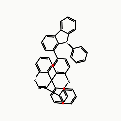 c1ccc(-c2cccc3c2C2(c4ccccc4Sc4ccc(-c5cccc6c7ccccc7n(-c7ccccc7)c56)cc42)c2ccccc2S3)cc1